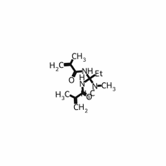 C=C(C)C(=O)NC(CC)(NC(=O)C(=C)C)N(C)C